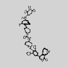 COc1cc(-c2cn(C)c(=O)c3cnccc23)cc(Cl)c1CN1CCC(N(C)C(=O)N2CCC(c3ccc(NC4CCC(=O)NC4=O)cc3F)CC2)CC1